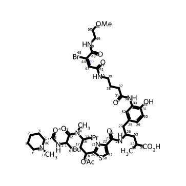 CCC(C)C(NC(=O)[C@H]1CCCCN1C)C(=O)N(C)C(CC(OC(C)=O)c1nc(C(=O)NC(Cc2ccc(O)c(NC(=O)CCCNC(=O)/C=C(/Br)C(=O)NCCOC)c2)CC(C)C(=O)O)cs1)C(C)C